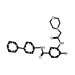 O=C(CN1CCOCC1)Nc1cc(C(=O)Nc2ccc(-c3ccccc3)cc2)ccc1Br